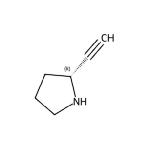 C#C[C@H]1CCCN1